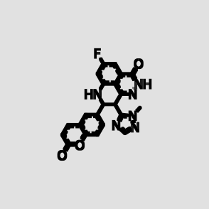 Cn1ncnc1C1c2n[nH]c(=O)c3cc(F)cc(c23)NC1c1ccc2oc(=O)ccc2c1